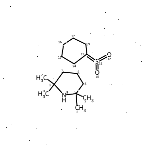 CC1(C)[CH][CH]CC(C)(C)N1.O=S(=O)=C1CCCCC1